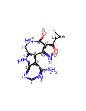 Nc1ncnc2[nH]c3c(c12)-c1noc(C2CC2)c1C(=O)NC3